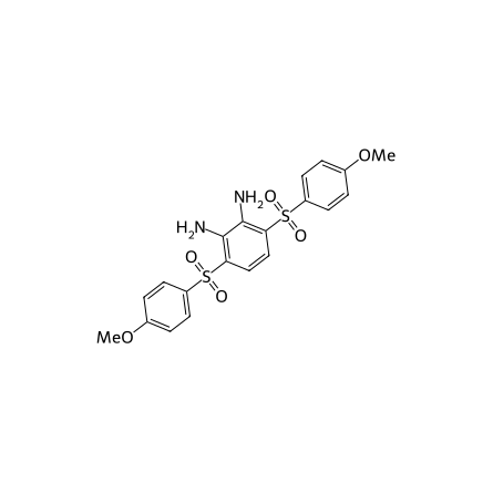 COc1ccc(S(=O)(=O)c2ccc(S(=O)(=O)c3ccc(OC)cc3)c(N)c2N)cc1